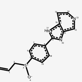 C=CC[S+]([O-])c1ccc(-c2nc3cnccc3[nH]2)cc1